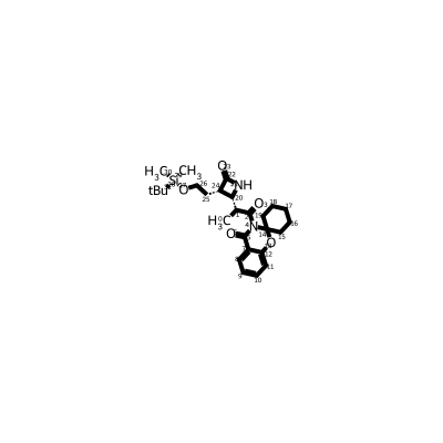 CC(C(=O)N1C(=O)c2ccccc2OC12CCCCC2)[C@H]1NC(=O)[C@H]1CCO[Si](C)(C)C(C)(C)C